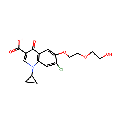 O=C(O)c1cn(C2CC2)c2cc(Cl)c(OCCOCCO)cc2c1=O